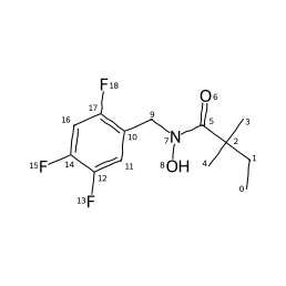 CCC(C)(C)C(=O)N(O)Cc1cc(F)c(F)cc1F